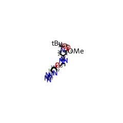 COC(=O)[C@H]1C[C@H](n2ncc(COc3ccc(-n4cnnn4)nc3)n2)CCN1C(=O)CC(C)(C)C